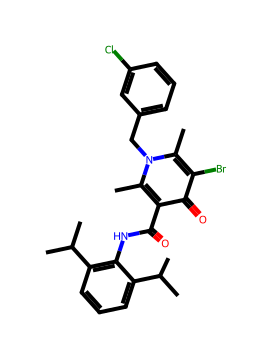 Cc1c(Br)c(=O)c(C(=O)Nc2c(C(C)C)cccc2C(C)C)c(C)n1Cc1cccc(Cl)c1